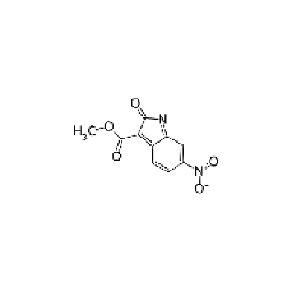 COC(=O)C1=c2ccc([N+](=O)[O-])cc2=NC1=O